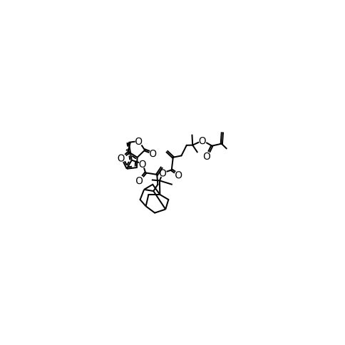 C=C(C)C(=O)OC(C)(C)CCC(=C)C(=O)OC(C)(C)C12CC3CC(C1)C(CC(=C)C(=O)Oc1c4c5oc1cc5C(=O)O4)C(C3)C2